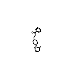 Cc1cccnc1N1CCN(CCC(=O)c2ccccc2)CC1